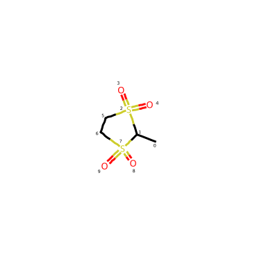 CC1S(=O)(=O)CCS1(=O)=O